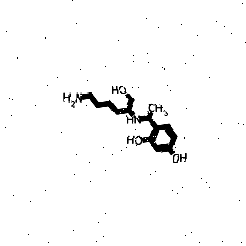 CC(NC(CO)CCCCN)c1ccc(O)cc1O